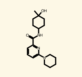 CC1(O)CCC(NC(=O)c2cccc(N3CCCCC3)n2)CC1